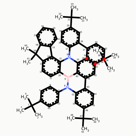 CC(C)(C)c1ccc(N2B3c4ccc5c(c4N(c4ccc(C(C)(C)C)cc4-c4ccccc4)c4cc(C(C)(C)C)cc(c43)-c3ccc(C(C)(C)C)cc32)-c2ccccc2C5(C)C)cc1